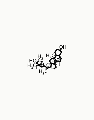 C[C@H](CCC(F)(F)C(C)(C)O)[C@H]1CC[C@H]2[C@@H]3CC=C4C[C@@H](O)CC[C@]4(C)[C@H]3CC[C@]12C